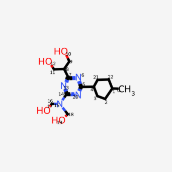 CC1CCC(c2nc(C(CO)CO)nc(N(CO)CO)n2)CC1